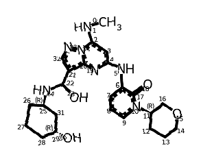 CNc1cc(Nc2cccn([C@@H]3CCCOC3)c2=O)nc2c(C(O)N[C@@H]3CCC[C@@H](O)C3)cnn12